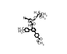 COC(=O)C1CCC(c2ccc(NC(=O)c3nc(C#N)cn3COCC[Si](C)(C)C)c(C3=CCC(C)(C)CC3)c2)CC1